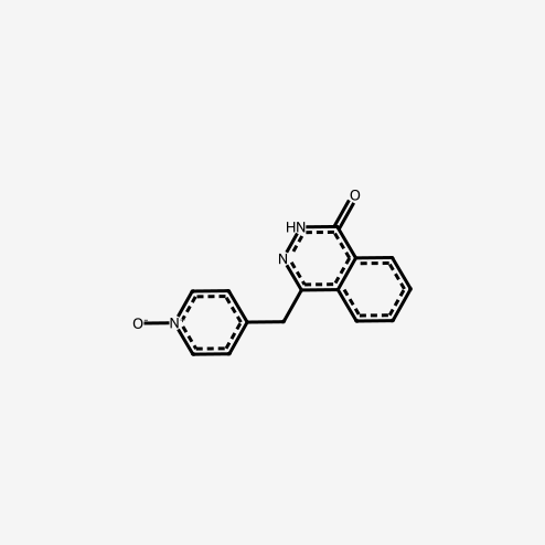 O=c1[nH]nc(Cc2cc[n+]([O-])cc2)c2ccccc12